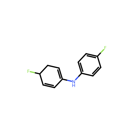 Fc1ccc(NC2=CCC(F)C=C2)cc1